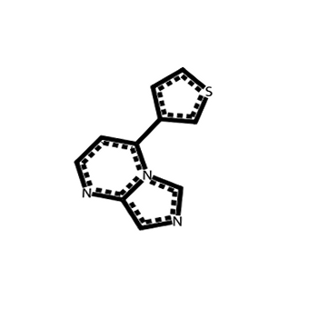 c1cc(-c2ccsc2)n2cncc2n1